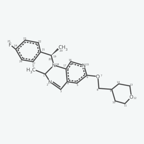 CC1N=Cc2cc(OCC3CCOCC3)ncc2N1[C@H](C)c1ccc(F)cc1